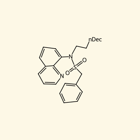 CCCCCCCCCCCCN(c1cccc2cccnc12)S(=O)(=O)Cc1ccccc1